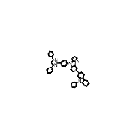 c1ccc(-c2cc(-c3ccccc3)nc(-c3ccc(-n4c5ccc(-c6ccc7c8ccccc8n(-c8ccccc8)c7c6)cc5c5ncccc54)cc3)n2)cc1